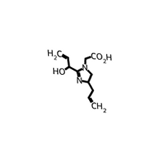 C=CCC1CN(CC(=O)O)C(C(O)C=C)=N1